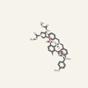 COc1ccc(CN(Cc2ccc(OC)cc2)S(=O)(=O)c2c(S(=O)(=O)NC3CN(C(=O)OC(C)(C)C)CC3NC(=O)OC(C)(C)C)ccc(I)c2-c2nnn(Cc3ccc(OC)cc3)n2)cc1